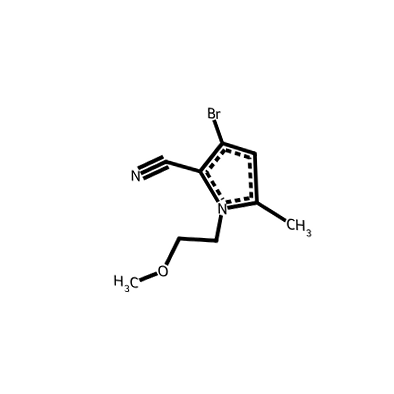 COCCn1c(C)cc(Br)c1C#N